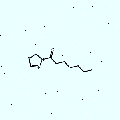 CCCCCCC(=O)N1CSC=N1